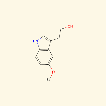 CCOc1ccc2[nH]cc(CCO)c2c1